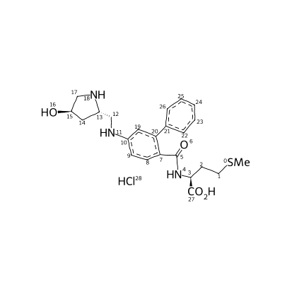 CSCC[C@H](NC(=O)c1ccc(NC[C@@H]2C[C@@H](O)CN2)cc1-c1ccccc1)C(=O)O.Cl